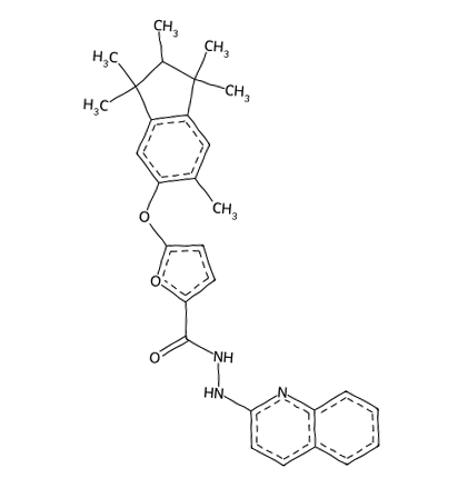 Cc1cc2c(cc1Oc1ccc(C(=O)NNc3ccc4ccccc4n3)o1)C(C)(C)C(C)C2(C)C